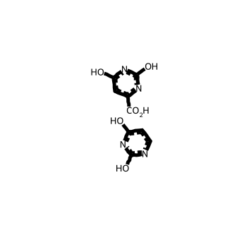 O=C(O)c1cc(O)nc(O)n1.Oc1ccnc(O)n1